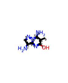 Cc1c(O)nc2c(N)cnn2c1N